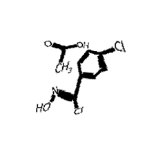 CC(=O)O.ON=C(Cl)c1ccc(Cl)cc1